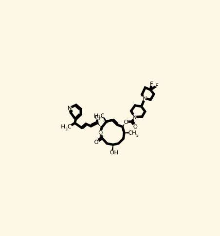 C/C(=C\C=C\C(C)c1cccnc1)[C@H]1OC(=O)C[C@H](O)CC[C@H](C)[C@@H](OC(=O)N2CCC(N3CCC(F)(F)CC3)CC2)/C=C/[C@@H]1C